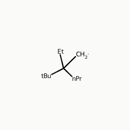 [CH2]C(CC)(CCC)C(C)(C)C